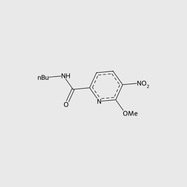 CCCCNC(=O)c1ccc([N+](=O)[O-])c(OC)n1